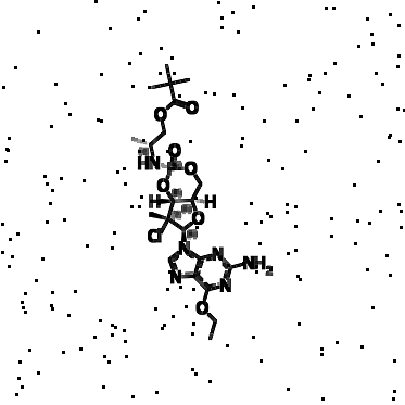 CCOc1nc(N)nc2c1ncn2[C@@H]1O[C@@H]2CO[P@@](=O)(N[C@H](C)COC(=O)C(C)(C)C)O[C@H]2[C@@]1(C)Cl